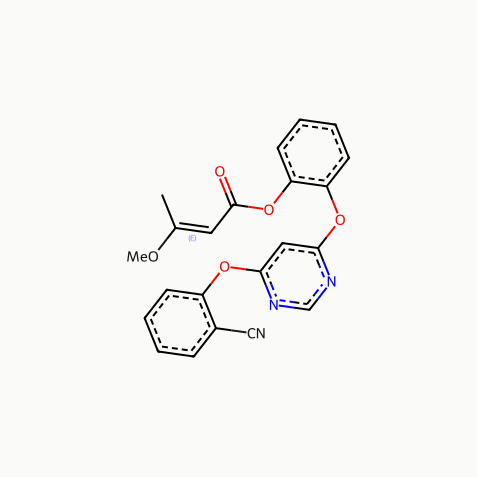 CO/C(C)=C/C(=O)Oc1ccccc1Oc1cc(Oc2ccccc2C#N)ncn1